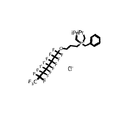 CC(C)C[P+](CCCOC(F)(F)C(F)(F)C(F)(F)C(F)(F)C(F)(F)C(F)(F)C(F)(F)C(F)(F)F)(Cc1ccccc1)CC(C)C.[Cl-]